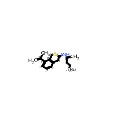 C=C(CCC(C)(C)C)NC1Cc2cccc(C(=C)C)c2CS1